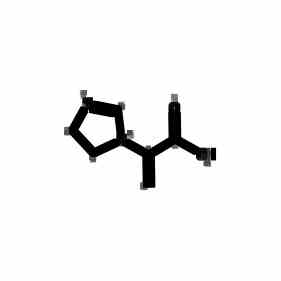 C=C(C(=O)O)N1C=NCC1